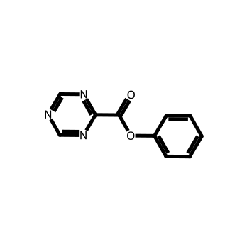 O=C(Oc1ccccc1)c1ncncn1